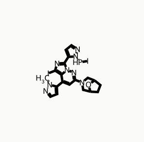 Cn1nccc1-c1cc(N2CC3CCC(C2)O3)nn2c(-c3ccnn3PI)nc(I)c12